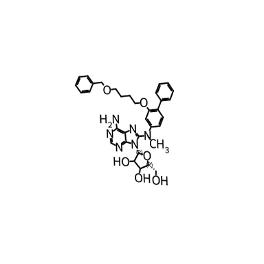 CN(c1ccc(-c2ccccc2)c(OCCCCOCc2ccccc2)c1)c1nc2c(N)ncnc2n1[C@@H]1O[C@H](CO)C(O)C1O